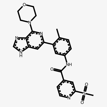 Cc1ccc(NC(=O)c2ccnc(S(C)(=O)=O)c2)cc1-c1cc2[nH]cnc2c(N2CCOCC2)n1